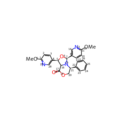 COc1ccc([C@H]2O[C@@H](c3ccc(OC)nc3)N3C2C(=O)OC[C@@H]3c2ccccc2)cn1